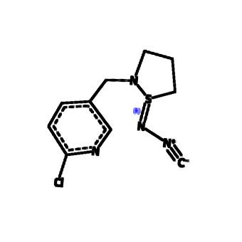 [C-]#[N+]/N=S1\CCCN1Cc1ccc(Cl)nc1